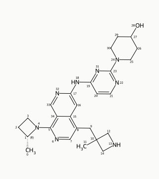 C[C@@H]1CCN1c1ncc(CC2(C)CNC2)c2cc(Nc3ccnc(N4CCC(O)CC4)n3)ncc12